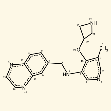 Cc1cncc(NCc2ccc3nccnc3c2)c1OC1CNC1